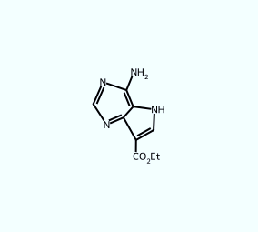 CCOC(=O)c1c[nH]c2c(N)ncnc12